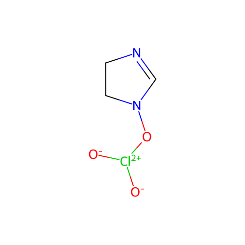 [O-][Cl+2]([O-])ON1C=NCC1